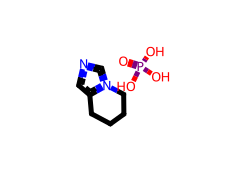 O=P(O)(O)O.c1ncn2c1CCCC2